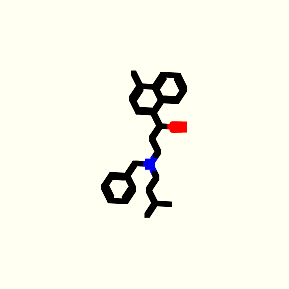 Cc1ccc(C(O)CCN(CCC(C)C)Cc2ccccc2)c2ccccc12